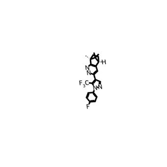 CC1(C)[C@H]2CC[C@]1(C)c1nnc(-c3cnn(-c4ccc(F)cc4)c3C(F)(F)F)cc12